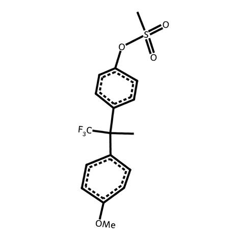 COc1ccc(C(C)(c2ccc(OS(C)(=O)=O)cc2)C(F)(F)F)cc1